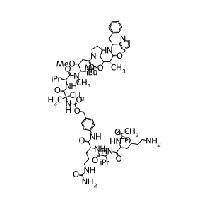 CC[C@H](C)[C@@H]([C@@H](CC(=O)N1CCC[C@H]1[C@H](OC)[C@@H](C)C(=O)N[C@@H](Cc1ccccc1)c1nccs1)OC)N(C)C(=O)[C@@H](NC(=O)C(C)(C)NC(=O)OCc1ccc(NC(=O)[C@H](CCCNC(N)=O)NC(=O)[C@@H](NC(=O)[C@H](CCCCN)NS(C)(=O)=O)C(C)C)cc1)C(C)C